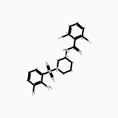 Cc1c(Cl)cccc1S(=O)(=O)N1CCC[C@H](NC(=O)c2c(F)cccc2F)C1